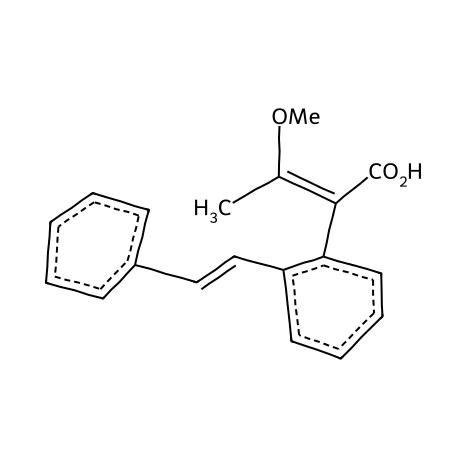 COC(C)=C(C(=O)O)c1ccccc1C=Cc1ccccc1